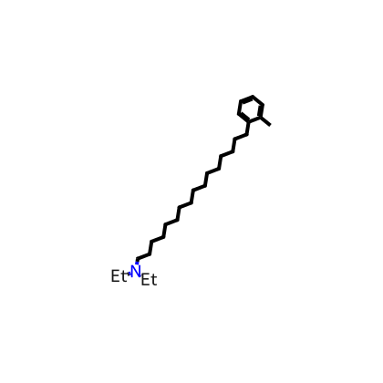 CCN(CC)CCCCCCCCCCCCCCCCc1ccccc1C